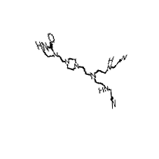 N#CCNCCN(CCNCC#N)CCN1CCN(CCN2CCNC2=O)CC1